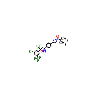 CC(C)C(=O)N1CC(c2ccc(C3=NOC(c4cc(Cl)cc(C(F)(F)F)c4)(C(F)(F)F)C3)cc2)C1